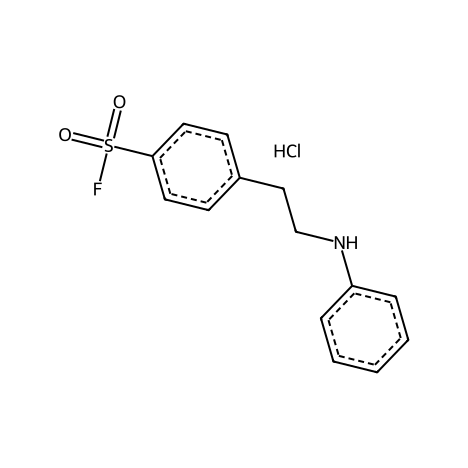 Cl.O=S(=O)(F)c1ccc(CCNc2ccccc2)cc1